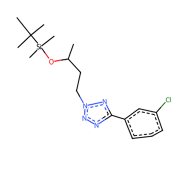 CC(CCn1nnc(-c2cccc(Cl)c2)n1)O[Si](C)(C)C(C)(C)C